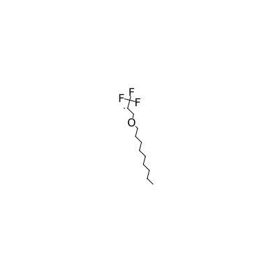 CCCCCCCCCOC[CH]C(F)(F)F